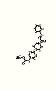 CC(C)(C)OC(=O)Cc1cnc(N2CCN(C(=O)OCc3ccccc3)CC2)nc1